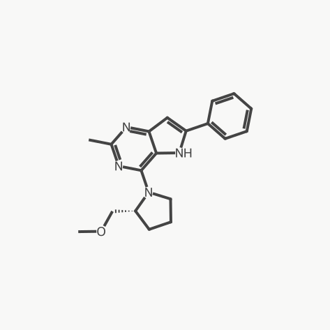 COC[C@H]1CCCN1c1nc(C)nc2cc(-c3ccccc3)[nH]c12